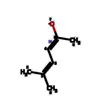 CC(C)=C/C=C(\C)[O]